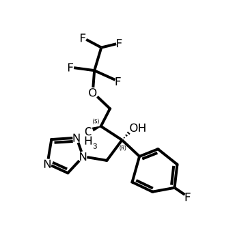 C[C@@H](COC(F)(F)C(F)F)[C@](O)(Cn1cncn1)c1ccc(F)cc1